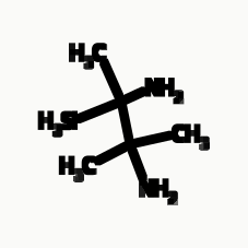 CC(C)(N)C(C)(N)[SiH3]